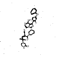 CN1CCN(C(C)(C)/C=C(/C#N)C(=O)N2CCC[C@@H](c3nc(-c4ccc(Oc5ccccc5)cc4F)c4c(N)nccn34)C2)CC1=O